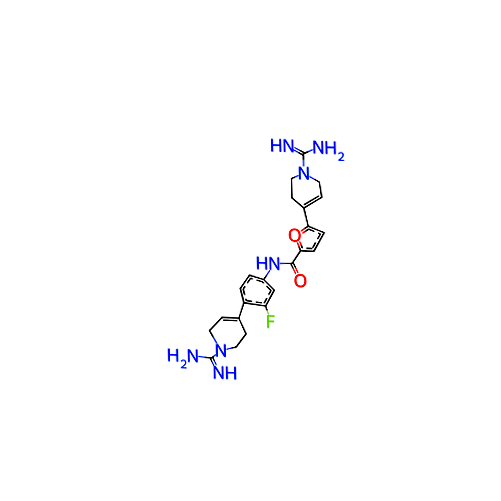 N=C(N)N1CC=C(c2ccc(C(=O)Nc3ccc(C4=CCN(C(=N)N)CC4)c(F)c3)o2)CC1